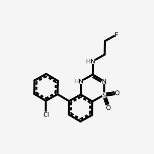 O=S1(=O)N=C(NCCF)Nc2c(-c3ccccc3Cl)cccc21